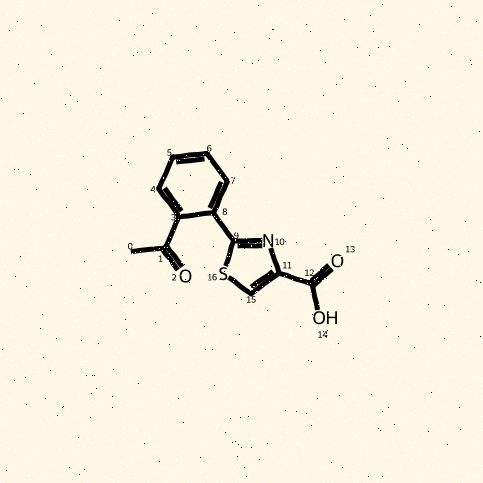 CC(=O)c1ccccc1-c1nc(C(=O)O)cs1